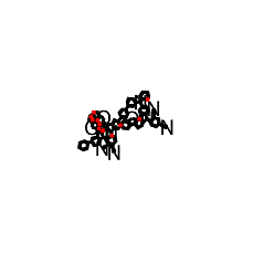 N#Cc1ccc(-n2c3ccc(N(c4ccccc4)c4cccc(-c5ccc(-c6ccc7c(c6)c6c8oc9ccccc9c8ccc6n7-c6ccc(C#N)c(C#N)c6-n6c7ccc(-c8ccccc8)cc7c7c8oc9ccccc9c8ccc76)cc5)c4)cc3c3c4oc5ccccc5c4ccc32)c(C#N)c1